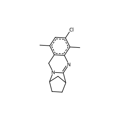 Cc1cc(Cl)c(C)c2c1CN1C(=N2)C2CCC1C2